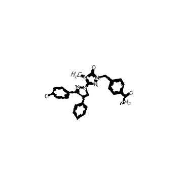 Cn1c(N2CC(c3ccccc3)C(c3ccc(Cl)cc3)=N2)nn(Cc2ccc(C(N)=O)cc2)c1=O